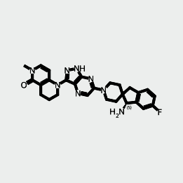 Cn1ccc2c(c1=O)CCCN2c1n[nH]c2nc(N3CCC4(CC3)Cc3ccc(F)cc3[C@H]4N)cnc12